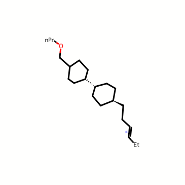 CC/C=C/CC[C@H]1CC[C@H](C2CCC(COCCC)CC2)CC1